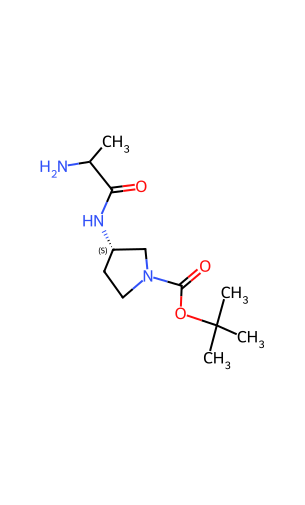 CC(N)C(=O)N[C@H]1CCN(C(=O)OC(C)(C)C)C1